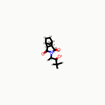 CC(C(=O)C(C)(C)C)N1C(=O)C2C3CCC(C3)C2C1=O